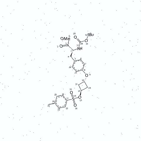 COC(=O)[C@H](Cc1ccc(O[C@H]2C[C@H](OS(=O)(=O)c3ccc(C)cc3)C2)cc1)NC(=O)OC(C)(C)C